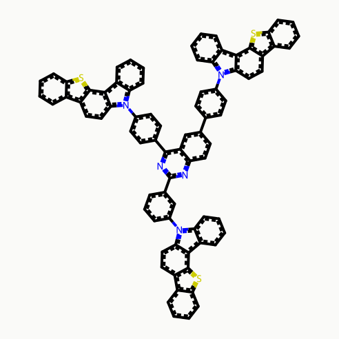 c1cc(-c2nc(-c3ccc(-n4c5ccccc5c5c6sc7ccccc7c6ccc54)cc3)c3cc(-c4ccc(-n5c6ccccc6c6c7sc8ccccc8c7ccc65)cc4)ccc3n2)cc(-n2c3ccccc3c3c4sc5ccccc5c4ccc32)c1